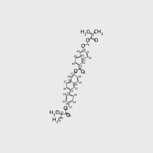 C=C(C)C(=O)OCOc1ccc2cc(C(=O)Oc3ccc4cc(-c5ccc(COC(=O)C(=C)C)cc5)ccc4c3)ccc2c1